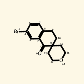 O=C1c2cc(Br)ccc2CCC12CCOCC2